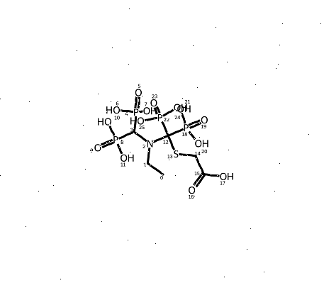 CCN(C(P(=O)(O)O)P(=O)(O)O)C(SCC(=O)O)(P(=O)(O)O)P(=O)(O)O